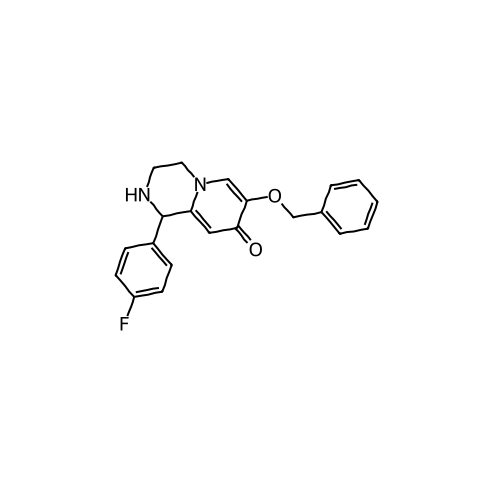 O=c1cc2n(cc1OCc1ccccc1)CCNC2c1ccc(F)cc1